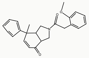 COc1ccccc1CC(=O)N1CC2C(=O)C=CC(C)(c3ccccc3)C2C1